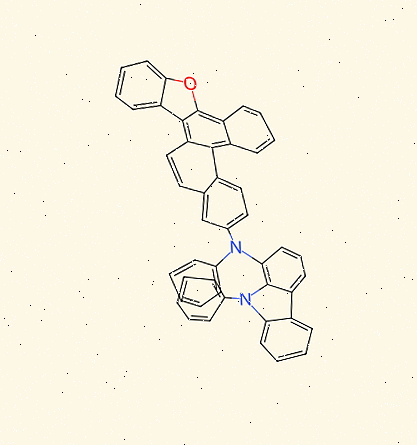 c1ccc(N(c2ccc3c(ccc4c3c3ccccc3c3oc5ccccc5c43)c2)c2cccc3c4ccccc4n(-c4ccccc4)c23)cc1